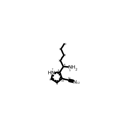 CCCCC(N)c1[nH]ccc1C#N